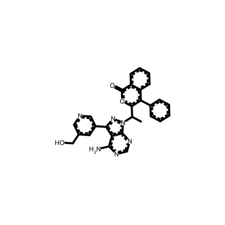 CC(c1oc(=O)c2ccccc2c1-c1ccccc1)n1nc(-c2cncc(CO)c2)c2c(N)ncnc21